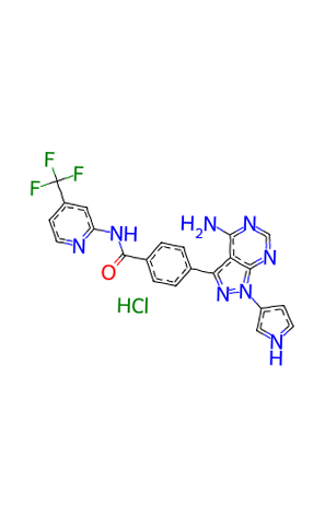 Cl.Nc1ncnc2c1c(-c1ccc(C(=O)Nc3cc(C(F)(F)F)ccn3)cc1)nn2-c1cc[nH]c1